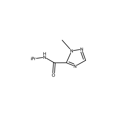 CC(C)NC(=O)c1ncnn1C